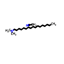 BC#N.CCCCCCCCCCCCCCCCCN(C)C